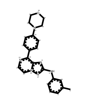 Cc1cccc(Nc2nc3c(-c4ccc(N5CCOCC5)cc4)nccn3n2)c1